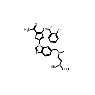 C[C@@H](Oc1cc(-n2cnc3ccc(CN(C)CCN(C(=O)O)C(C)(C)C)cc32)sc1C(N)=O)c1ccccc1Cl